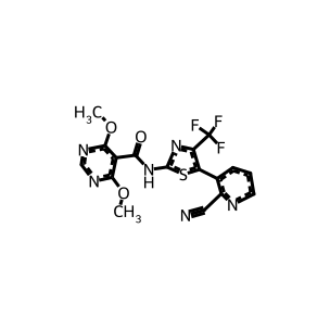 COc1ncnc(OC)c1C(=O)Nc1nc(C(F)(F)F)c(-c2cccnc2C#N)s1